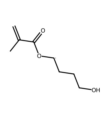 C=C(C)C(=O)O[CH]CCCO